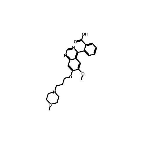 COc1cc2c(-c3ccccc3C(=O)O)ncnc2cc1OCCCN1CCN(C)CC1